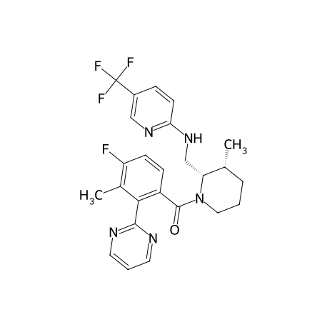 Cc1c(F)ccc(C(=O)N2CCC[C@@H](C)[C@H]2CNc2ccc(C(F)(F)F)cn2)c1-c1ncccn1